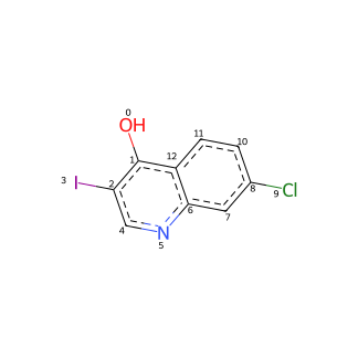 Oc1c(I)cnc2cc(Cl)ccc12